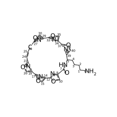 NCCCCC1NC(=O)c2coc(n2)-c2coc(n2)-c2coc(n2)/C=C/Cc2nc(co2)-c2nc(co2)-c2nc1co2